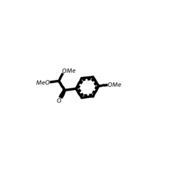 COc1ccc(C(=O)C(OC)OC)cc1